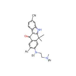 CCN(CCN(C)C(C)C)c1cc2c(cc1C(C)=O)C(=O)c1c([nH]c3cc(C#N)ccc13)C2(C)C